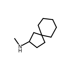 CNC1CCC2(CCCCC2)C1